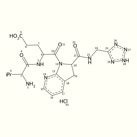 CC(C)C(N)C(=O)NC(CCC(=O)O)C(=O)N1c2ncccc2CC1C(=O)NCc1nn[nH]n1.Cl